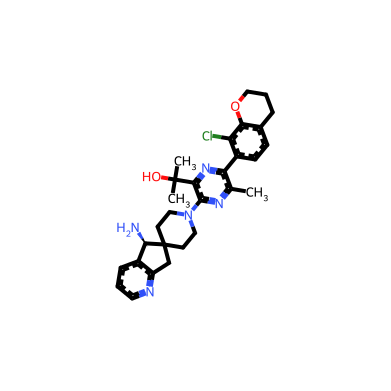 Cc1nc(N2CCC3(CC2)Cc2ncccc2[C@H]3N)c(C(C)(C)O)nc1-c1ccc2c(c1Cl)OCCC2